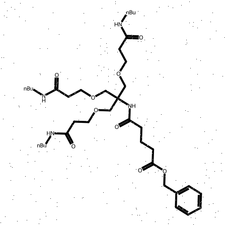 CCCCNC(=O)CCOCC(COCCC(=O)NCCCC)(COCCC(=O)NCCCC)NC(=O)CCCC(=O)OCc1ccccc1